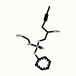 CC#CCC(COP(=O)(NCC=O)Oc1ccccc1)OC